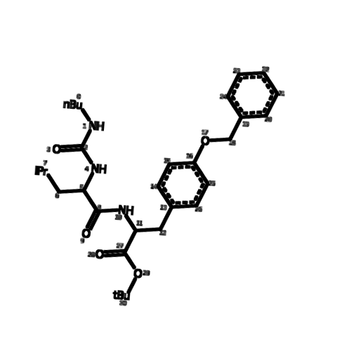 CCCCNC(=O)NC(CC(C)C)C(=O)NC(Cc1ccc(OCc2ccccc2)cc1)C(=O)OC(C)(C)C